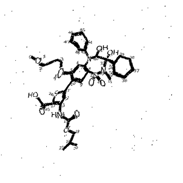 COCCOc1cc2c(cc1-c1cc(NC(=O)OCC(C)C)c(C(=O)O)s1)S(=O)(=O)N(C)[C@@](O)(C1CCCCC1)C(O)N2c1ccccc1